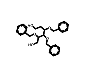 OCCC(OCc1ccccc1)C(OCc1ccccc1)C(CO)OCc1ccccc1